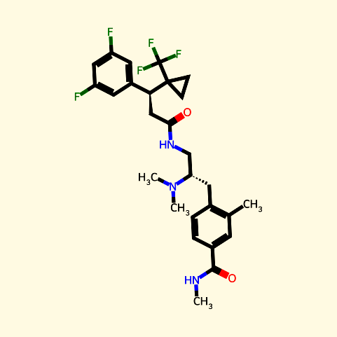 CNC(=O)c1ccc(C[C@@H](CNC(=O)C[C@@H](c2cc(F)cc(F)c2)C2(C(F)(F)F)CC2)N(C)C)c(C)c1